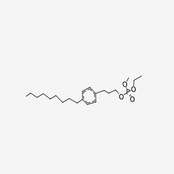 CCCCCCCCCc1ccc(CCCOP(=O)(OC)OCC)cc1